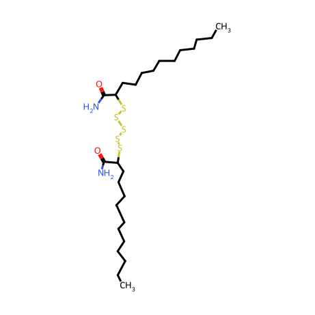 CCCCCCCCCCCC(SSSSSC(CCCCCCCCCCC)C(N)=O)C(N)=O